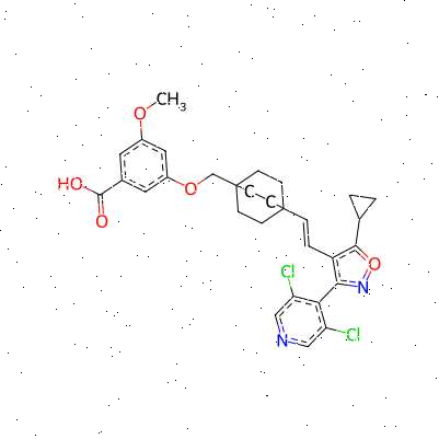 COc1cc(OCC23CCC(C=Cc4c(-c5c(Cl)cncc5Cl)noc4C4CC4)(CC2)CC3)cc(C(=O)O)c1